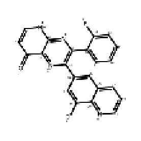 O=c1cc[nH]c2nc(-c3ccccc3F)c(-c3cc(Cl)c4ncccc4c3)nc12